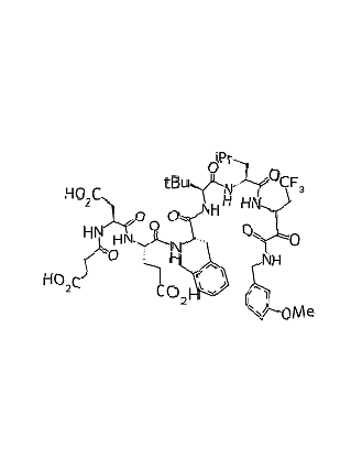 COc1cccc(CNC(=O)C(=O)C(CC(F)(F)F)NC(=O)[C@H](CC(C)C)NC(=O)[C@@H](NC(=O)[C@H](Cc2ccccc2C)NC(=O)[C@H](CCC(=O)O)NC(=O)[C@H](CC(=O)O)NC(=O)CCC(=O)O)C(C)(C)C)c1